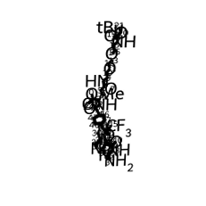 COC(=O)[C@H](CCC(=O)NCCOCCOCCNC(=O)OC(C)(C)C)NC(=O)c1ccc(N(Cc2cnc3nc(N)[nH]c(=O)c3n2)C(=O)C(F)(F)F)cc1